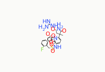 CC(CCONC(=N)N)(C(N)=O)c1ccc(NS(=O)(=O)Cc2ccccc2F)c(=O)n1OC(=O)C(F)(F)F